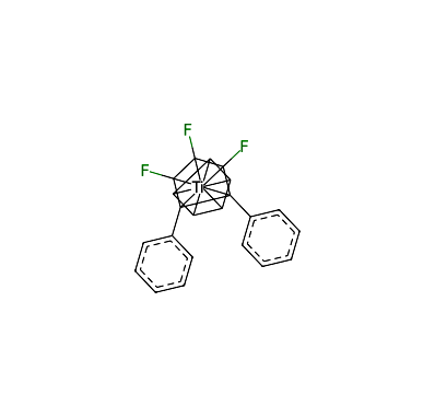 F[C]12[C]3(F)[C]4(c5ccccc5)[C]5(c6ccccc6)[C]1(F)[Ti]23451678[CH]2[CH]1[CH]6[CH]7[CH]28